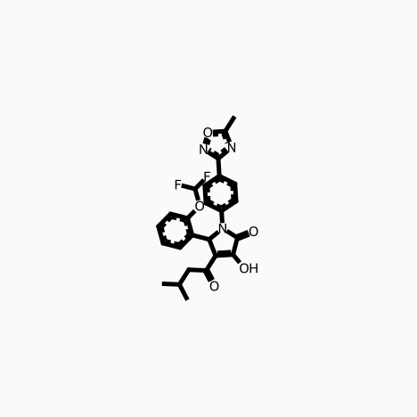 Cc1nc(-c2ccc(N3C(=O)C(O)=C(C(=O)CC(C)C)C3c3ccccc3OC(F)F)cc2)no1